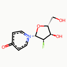 O=c1ccn([C@@H]2O[C@H](CO)[C@@H](O)[C@H]2F)cc1